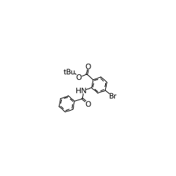 CC(C)(C)OC(=O)c1ccc(Br)cc1NC(=O)c1ccccc1